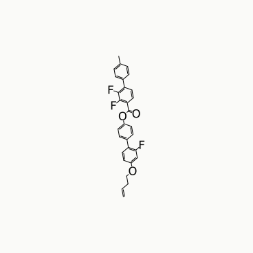 C=CCCOc1ccc(-c2ccc(OC(=O)c3ccc(-c4ccc(C)cc4)c(F)c3F)cc2)c(F)c1